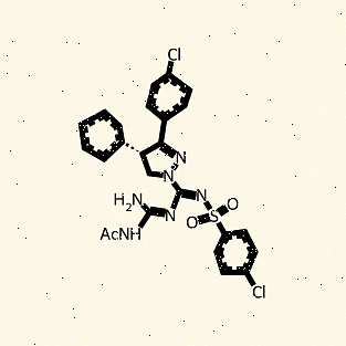 CC(=O)N/C(N)=N/C(=N\S(=O)(=O)c1ccc(Cl)cc1)N1C[C@H](c2ccccc2)C(c2ccc(Cl)cc2)=N1